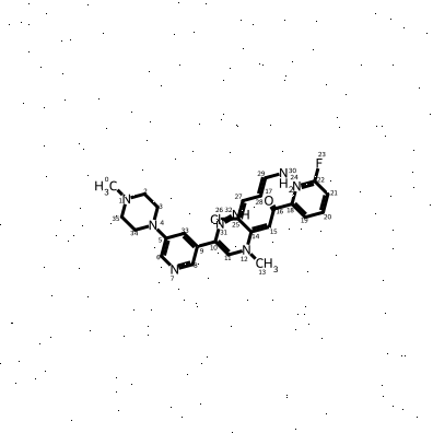 CN1CCN(c2cncc(/C(=C/N(C)C(=C/C(=O)c3cccc(F)n3)/C(Cl)=C\C=C\N)N=N)c2)CC1